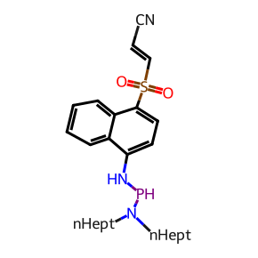 CCCCCCCN(CCCCCCC)PNc1ccc(S(=O)(=O)C=CC#N)c2ccccc12